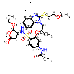 CCOC1OC(=O)CC1NS(=O)(=O)c1ccc(NC(C)=O)cc1O[C@H](C)Cn1c(SCCOC)nc2ccccc21